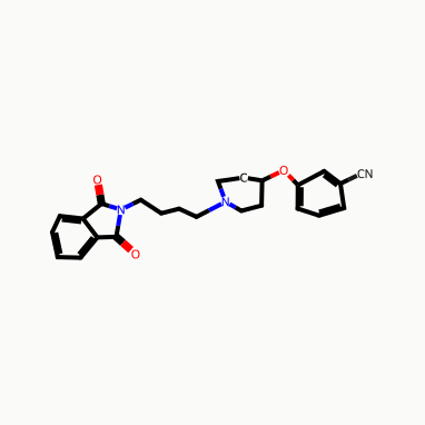 N#Cc1cccc(OC2CCN(CCCCN3C(=O)c4ccccc4C3=O)CC2)c1